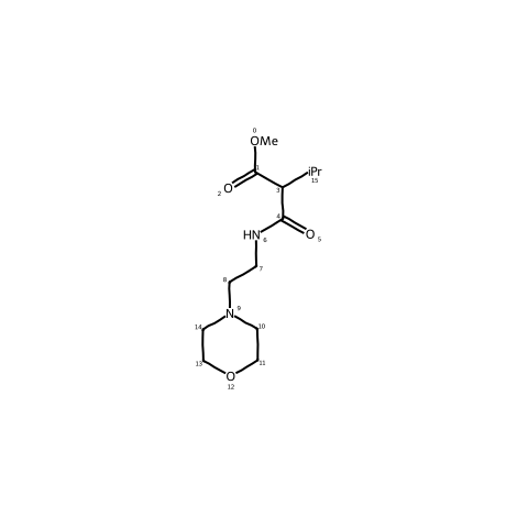 COC(=O)C(C(=O)NCCN1CCOCC1)C(C)C